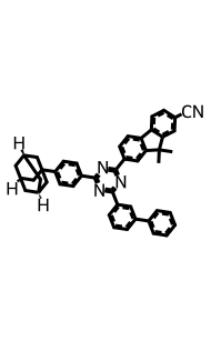 CC1(C)c2cc(C#N)ccc2-c2ccc(-c3nc(-c4ccc(C56C[C@H]7C[C@H](C5)C[C@@H](C6)C7)cc4)nc(-c4cccc(-c5ccccc5)c4)n3)cc21